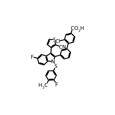 Cc1ccc(Sn2c(-c3cccc(-c4ccc(C(=O)O)cc4Cl)c3)c(-c3ccsc3C#N)c3cc(F)ccc32)cc1F